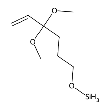 C=CC(CCCO[SiH3])(OC)OC